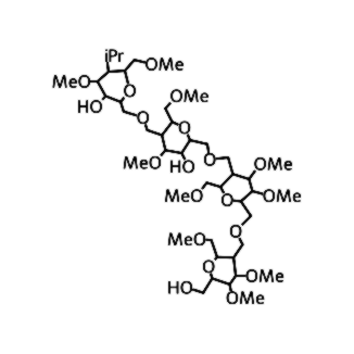 COCC1OC(COCC2C(COC)OC(COCC3C(COC)OC(CO)C(OC)C3OC)C(OC)C2OC)C(O)C(OC)C1COCC1OC(COC)C(C(C)C)C(OC)C1O